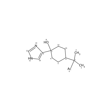 CC(=O)C(C)(C)C1CCC(O)(c2c[nH]cn2)CC1